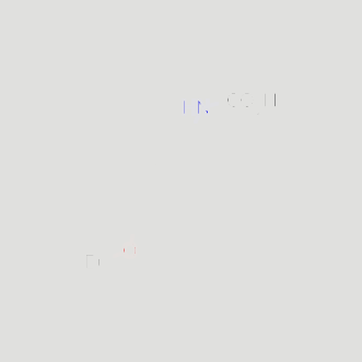 CCOc1ccc(CCNC(=O)O)cc1